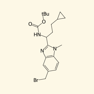 Cn1c(C(CCC2CC2)NC(=O)OC(C)(C)C)nc2cc(CBr)ccc21